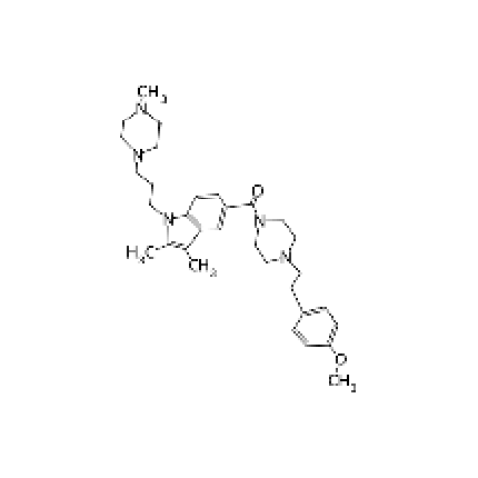 COc1ccc(CCN2CCN(C(=O)c3ccc4c(c3)c(C)c(C)n4CCCN3CCN(C)CC3)CC2)cc1